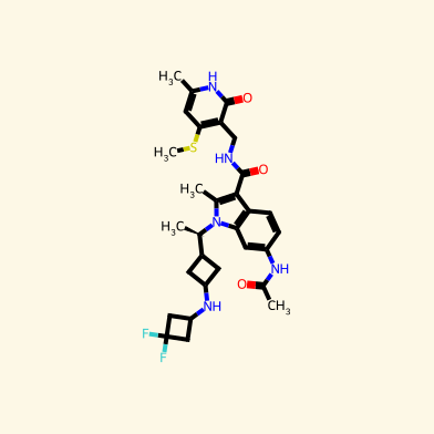 CSc1cc(C)[nH]c(=O)c1CNC(=O)c1c(C)n([C@H](C)C2CC(NC3CC(F)(F)C3)C2)c2cc(NC(C)=O)ccc12